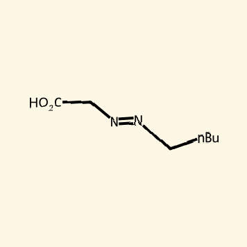 CCCCCN=NCC(=O)O